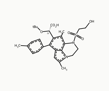 Cc1ccc(-c2c([C@H](OC(C)(C)C)C(=O)O)c(C)c3c4c2cc(C)n4CCN3S(=O)(=O)CCO)cc1